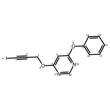 IC#CCOc1cc(Oc2ccccc2)ncn1